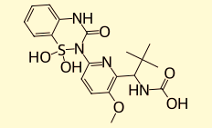 COc1ccc(N2C(=O)Nc3ccccc3S2(O)O)nc1C(NC(=O)O)C(C)(C)C